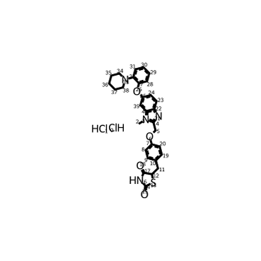 Cl.Cl.Cn1c(COc2ccc(CC3SC(=O)NC3=O)cc2)nc2ccc(Oc3ccccc3N3CCCCC3)cc21